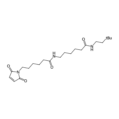 CC(C)(C)CCNC(=O)CCCCCNC(=O)CCCCCN1C(=O)C=CC1=O